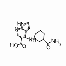 NC(=O)[C@@H]1CCC[C@@H](Nc2c(C(=O)O)cnc3[nH]ccc23)C1